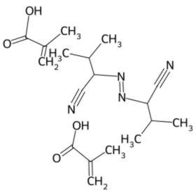 C=C(C)C(=O)O.C=C(C)C(=O)O.CC(C)C(C#N)/N=N/C(C#N)C(C)C